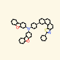 c1ccc(-c2nc3ccc4ccc5ccc(-c6ccc(N(c7ccc8c(c7)oc7ccccc78)c7ccc8oc9ccccc9c8c7)cc6)cc5c4c3s2)cc1